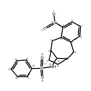 O=[N+]([O-])c1cccc2c1CC1CCC(C2)C1NS(=O)(=O)c1ccccc1